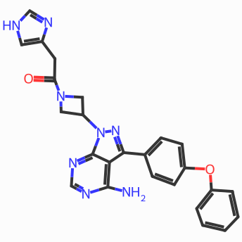 Nc1ncnc2c1c(-c1ccc(Oc3ccccc3)cc1)nn2C1CN(C(=O)Cc2c[nH]cn2)C1